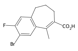 CC1=C(C(=O)O)CCCc2cc(F)c(Br)cc21